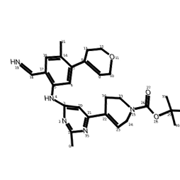 Cc1nc(Nc2cc(C3=CCOCC3)c(C)cc2C=N)cc(C2=CCN(C(=O)OC(C)(C)C)CC2)n1